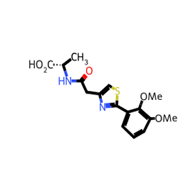 COc1cccc(-c2nc(CC(=O)N[C@@H](C)C(=O)O)cs2)c1OC